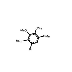 COc1cc(Br)c(C(=O)O)c(OC)c1OC